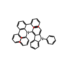 c1ccc(-c2cccc(-c3ccccc3)c2N(c2ccccc2)c2cccc3c2c2ccccc2n3-c2ccccc2)cc1